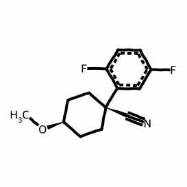 CO[C@H]1CC[C@](C#N)(c2cc(F)ccc2F)CC1